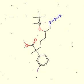 COC(=O)C(C)(CCCC(CN=[N+]=[N-])O[Si](C)(C)C(C)(C)C)c1cccc(I)c1